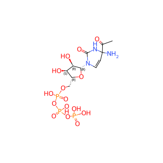 CC(=O)C1(N)C=CN([C@@H]2O[C@H](COP(=O)(O)OP(=O)(O)OP(=O)(O)O)[C@@H](O)[C@H]2O)C(=O)N1